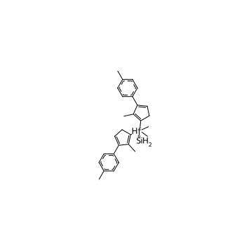 CC1=[C]([Hf]([CH3])([CH3])(=[SiH2])[C]2=C(C)C(c3ccc(C)cc3)=CC2)CC=C1c1ccc(C)cc1